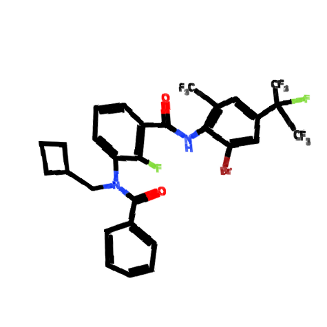 O=C(Nc1c(Br)cc(C(F)(C(F)(F)F)C(F)(F)F)cc1C(F)(F)F)c1cccc(N(CC2CCC2)C(=O)c2ccccc2)c1F